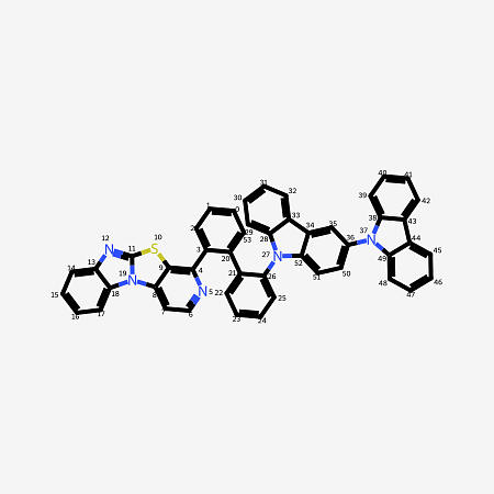 c1ccc(-c2nccc3c2sc2nc4ccccc4n23)c(-c2ccccc2-n2c3ccccc3c3cc(-n4c5ccccc5c5ccccc54)ccc32)c1